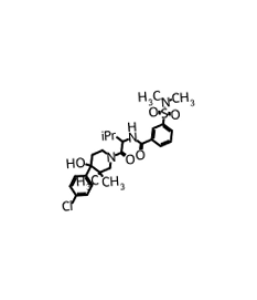 CC(C)C(NC(=O)c1cccc(S(=O)(=O)N(C)C)c1)C(=O)N1CCC(O)(c2ccc(Cl)cc2)C(C)(C)C1